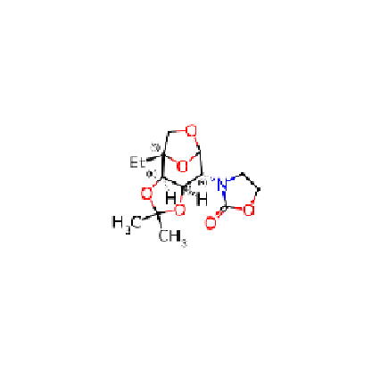 CC[C@@]12COC(O1)[C@H](N1CCOC1=O)[C@H]1OC(C)(C)O[C@H]12